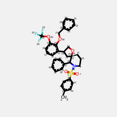 Cc1ccc(S(=O)(=O)N2CCC[C@]3(CC(c4cccc(OC(F)(F)F)c4OCc4ccccc4)CO3)C2c2ccccc2)cc1